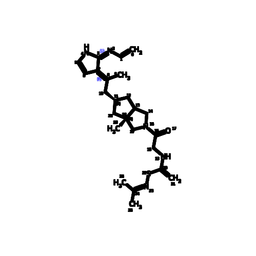 C=C/N=C1/NC=C/C1=C(/C)C[C@H]1CC2CN(C(=O)CNC(=C)SN=C(C)C)C[C@]2(C)C1